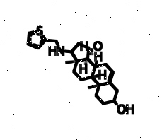 C[C@]12CCC(O)CC1=CC[C@@H]1[C@H]2CC[C@]2(C)C(NCc3cccs3)CC[C@@H]12.O